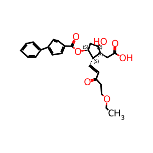 CCOCCC(=O)C=C[C@H]1[C@H](CC(=O)O)[C@H](O)C[C@@H]1OC(=O)c1ccc(-c2ccccc2)cc1